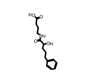 O=C(O)CCCNC(=O)C(O)CCCc1ccccc1